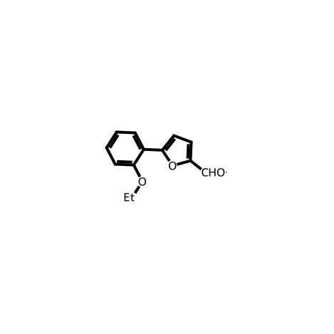 CCOc1ccccc1-c1ccc([C]=O)o1